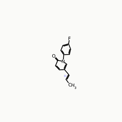 C/C=C/c1ccc(=O)n(-c2ccc(F)cc2)c1